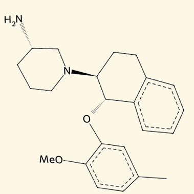 COc1ccc(C)cc1O[C@H]1c2ccccc2CC[C@@H]1N1CCC[C@H](N)C1